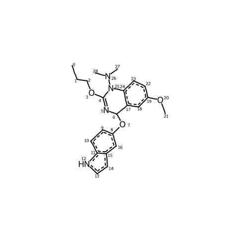 CCCOC1=NC(Oc2ccc3[nH]ccc3c2)c2cc(OC)ccc2N1N(C)C